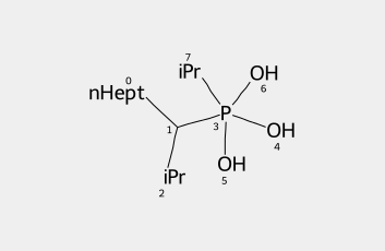 CCCCCCCC(C(C)C)P(O)(O)(O)C(C)C